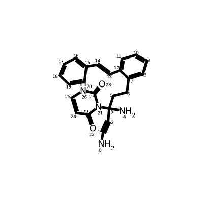 NC#CC(N)(CCc1ccccc1C=Cc1ccccc1)n1c(=O)cc[nH]c1=O